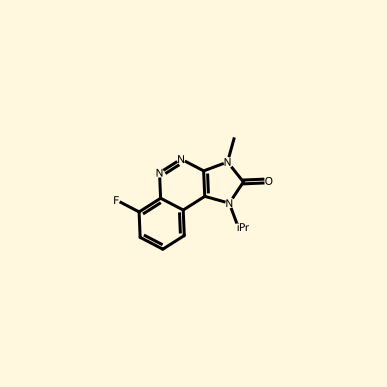 CC(C)n1c(=O)n(C)c2nnc3c(F)cccc3c21